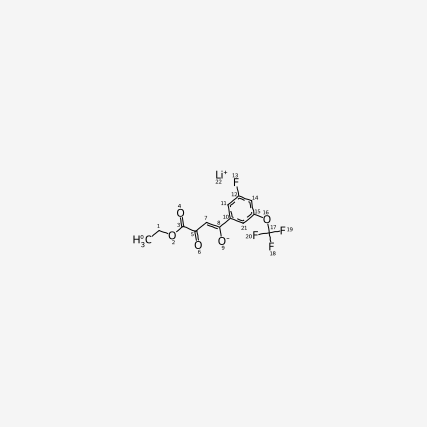 CCOC(=O)C(=O)C=C([O-])c1cc(F)cc(OC(F)(F)F)c1.[Li+]